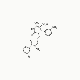 CC1=C(C(=O)O)C(c2cccc([N+](=O)[O-])c2)N(CCCN(C)C(=O)c2cccc(Cl)c2)C(=O)N1